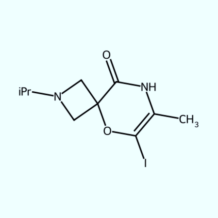 CC1=C(I)OC2(CN(C(C)C)C2)C(=O)N1